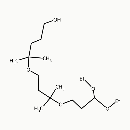 CCOC(CCOC(C)(C)CCOC(C)(C)CCCO)OCC